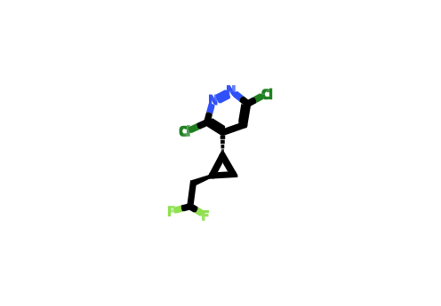 FC(F)C[C@@H]1C[C@H]1c1cc(Cl)nnc1Cl